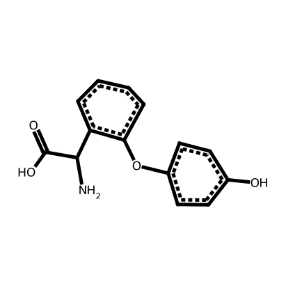 NC(C(=O)O)c1ccccc1Oc1ccc(O)cc1